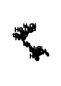 Cc1ncsc1-c1ccc(CNC(=O)[C@@H]2C[C@@H](O)CN2C(=O)C(NC(=O)CCCN2CCN(CCCOc3cc(F)c([C@@H]4c5[nH]c6ccccc6c5C[C@@H](C)N4CC(C)(C)F)c(F)c3)CC2)C(C)(C)C)cc1